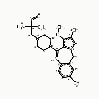 COc1c(C)cn2c1C(N1CCN(CC(C)(C)C=O)CC1)=Nc1ccc(C)cc1C2